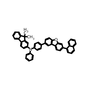 CC1(C)c2ccccc2-c2ccc(N(c3ccccc3)c3ccc(-c4ccc5oc6cc(-c7cccc8ccccc78)ccc6c5c4)cc3)cc21